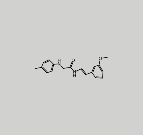 COc1cccc(/C=C/NC(=O)CNc2ccc(C)cc2)c1